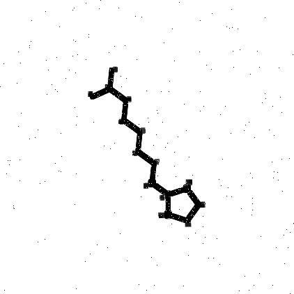 CC(C)CCCCCOP1OCCO1